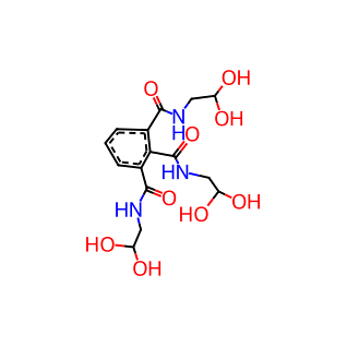 O=C(NCC(O)O)c1cccc(C(=O)NCC(O)O)c1C(=O)NCC(O)O